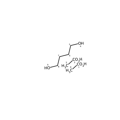 CC(=O)O.CC(=O)O.OCCCCO